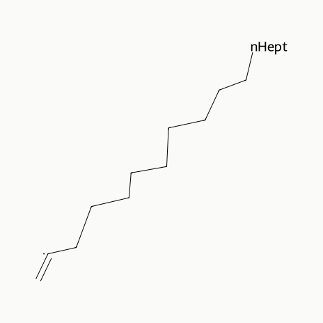 C=[C]CCCCCCCCCCCCCCCC